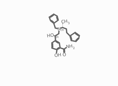 C[C@H](CCc1ccccc1)N(Cc1ccccc1)C[C@H](O)c1ccc(O)c(C(N)=O)c1